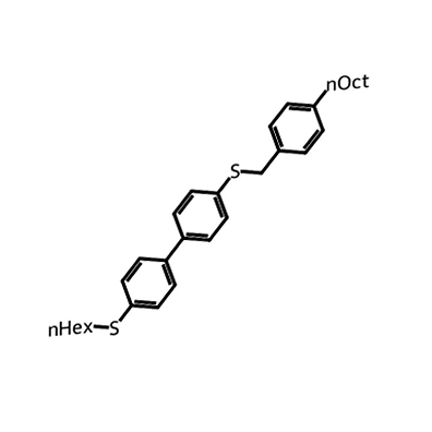 CCCCCCCCc1ccc(CSc2ccc(-c3ccc(SCCCCCC)cc3)cc2)cc1